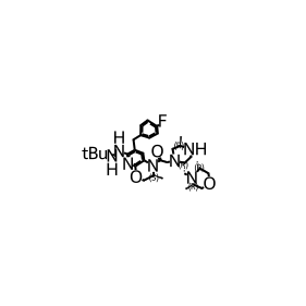 C[C@@H]1CN(CC(=O)N2c3cc(Cc4ccc(F)cc4)c(NNC(C)(C)C)nc3OC[C@@H]2C)[C@@H](CN2[C@H](C)COC[C@H]2C)CN1